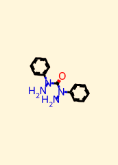 NN(C(=O)N(N)c1ccccc1)c1ccccc1